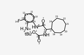 CC(C)(C)OC(=O)NC(C(=O)Nc1cccc(F)c1N)C1CCCCCCC1